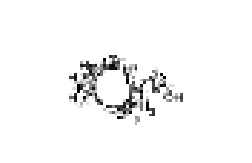 CC(=Cc1csc(CO)n1)[C@@H]1C[C@@H]2OC2(C)CCC[C@H](C)[C@H](O)[C@@H](C)C(=O)C(C)(C)[C@@H](O)CC(=O)O1